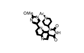 COc1ncc(-c2ccc3ncc4c(=O)[nH]c(=O)n(C5CCN(C(C)=O)CC5)c4c3n2)cn1